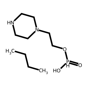 CCCC.O=[PH](O)OCCN1CCNCC1